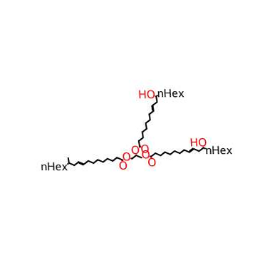 CCCCCCC(C)C/C=C/CCCCCCCC(=O)OCC(COC(=O)CCCCCCC/C=C/CC(O)CCCCCC)OC(=O)CCCCCCC/C=C/CC(O)CCCCCC